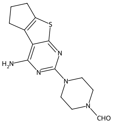 Nc1nc(N2CCN(C=O)CC2)nc2sc3c(c12)CCC3